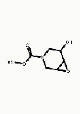 CC(C)(C)OC(=O)N1CC(O)C2OC2C1